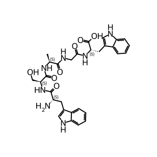 C[C@H](NC(=O)[C@H](CO)NC(=O)[C@@H](N)Cc1c[nH]c2ccccc12)C(=O)NCC(=O)N[C@@H](Cc1c[nH]c2ccccc12)C(=O)O